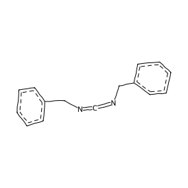 C(=NCc1ccccc1)=NCc1ccccc1